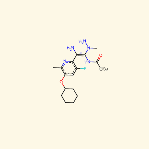 Cc1nc(/C(N)=C(\NC(=O)OCC(C)C)N(C)N)c(F)cc1OC1CCCCC1